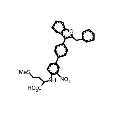 CSCCC(Nc1ccc(-c2ccc(-c3c(Cc4ccccc4)oc4ccccc34)cc2)cc1[N+](=O)[O-])C(=O)O